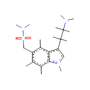 [2H]c1c(CS(=O)(=O)N([2H])C)c([2H])c2c(C([2H])([2H])C([2H])([2H])N(C)C)cn([2H])c2c1[2H]